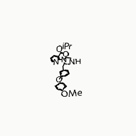 COc1ccc(Oc2cccc(CC3CNCCN3c3ncccc3C(=O)OC(C)C)c2)cc1